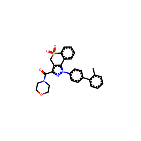 Cc1ccccc1-c1ccc(-n2nc(C(=O)N3CCOCC3)c3c2-c2ccccc2S(=O)(=O)C3)cc1